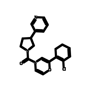 O=C(N1C=COC(C2=C(Cl)C=CCC2)=C1)N1CCC(c2cccnc2)C1